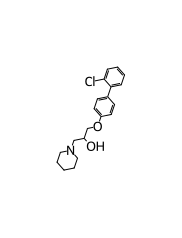 OC(COc1ccc(-c2ccccc2Cl)cc1)CN1CCCCC1